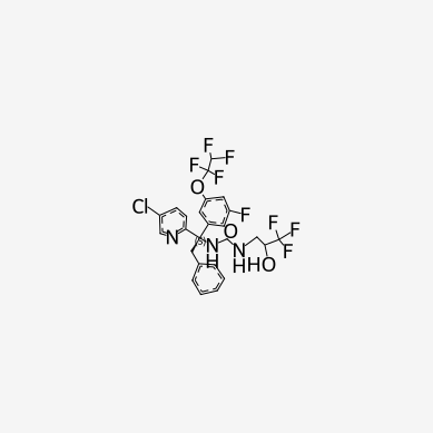 O=C(NCC(O)C(F)(F)F)N[C@@](Cc1ccccc1)(c1cc(F)cc(OC(F)(F)C(F)F)c1)c1ccc(Cl)cn1